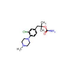 CN1CCN(c2ccc(CC(C)(C)OC(N)=O)cc2Cl)CC1